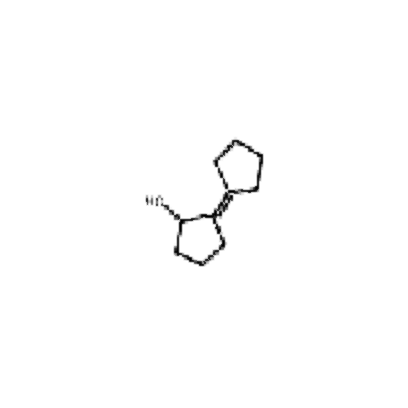 OC1CCCC1=C1CCCC1